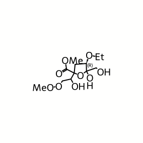 CCO[C@@H]1CC(C(=O)OC)(C(O)COOC)OC1(O)CO